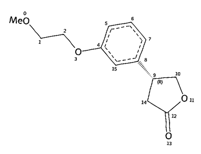 COCCOc1cccc([C@@H]2COC(=O)C2)c1